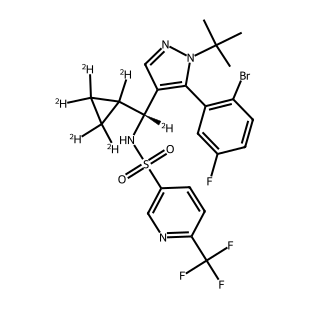 [2H]C1([2H])C([2H])([2H])C1([2H])[C@@]([2H])(NS(=O)(=O)c1ccc(C(F)(F)F)nc1)c1cnn(C(C)(C)C)c1-c1cc(F)ccc1Br